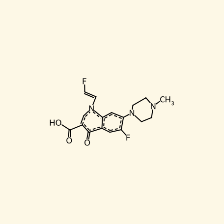 CN1CCN(c2cc3c(cc2F)c(=O)c(C(=O)O)cn3C=CF)CC1